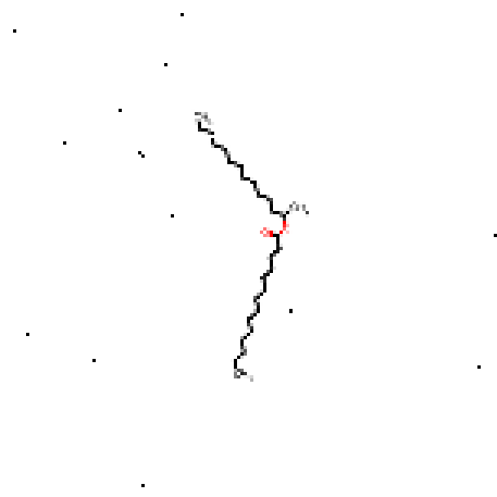 CCCCCCCCCCCCCC(=O)OC(C)CCCCCCCCCCCC